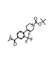 CN(C)C(=O)c1ccc(C2=CCN(C(=O)OC(C)(C)C)CC2)c(C(F)(F)F)c1